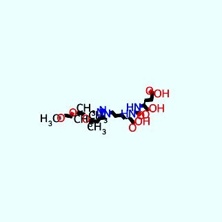 COCCOC(C)(C)COC(C)(C)Cc1cn(CCCC[C@H](NC(=O)N[C@@H](CCC(=O)O)C(=O)O)C(=O)O)nn1